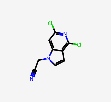 N#CCn1ccc2c(Cl)nc(Cl)cc21